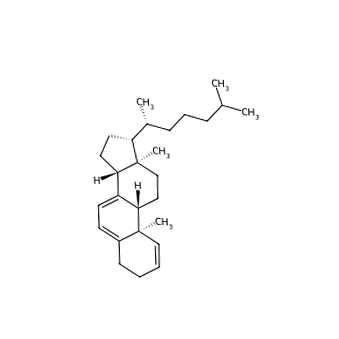 CC(C)CCC[C@@H](C)[C@H]1CC[C@H]2C3=CC=C4CCC=C[C@]4(C)[C@H]3CC[C@]12C